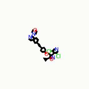 Clc1cncc(Cl)c1-c1noc(C2CC2)c1COC12CCC(C#Cc3ccc4c(N5CCOCC5)nccc4c3)(CC1)CC2